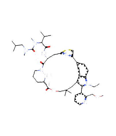 CCn1c(-c2cccnc2[C@H](C)OC)c2c3cc(ccc31)-c1csc(n1)C[C@H](NC(=O)C(C(C)C)N(C)C(=O)N(C)CC(C)C)C(=O)N1CCC[C@H](N1)C(=O)OCC(C)(C)C2